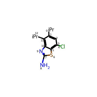 CC(C)c1cc(Cl)c2sc(N)nc2c1C(C)C